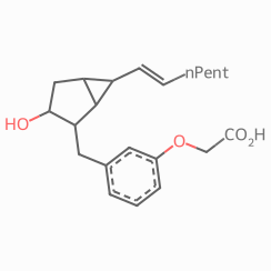 CCCCC/C=C/C1C2CC(O)C(Cc3cccc(OCC(=O)O)c3)C12